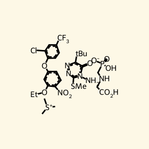 CCOc1cc(Oc2ccc(C(F)(F)F)cc2Cl)ccc1[N+](=O)[O-].CSc1nnc(C(C)(C)C)c(=O)n1N.C[S+](C)C.O=C(O)CNCP(=O)([O-])O